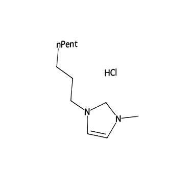 CCCCCCCCN1C=CN(C)C1.Cl